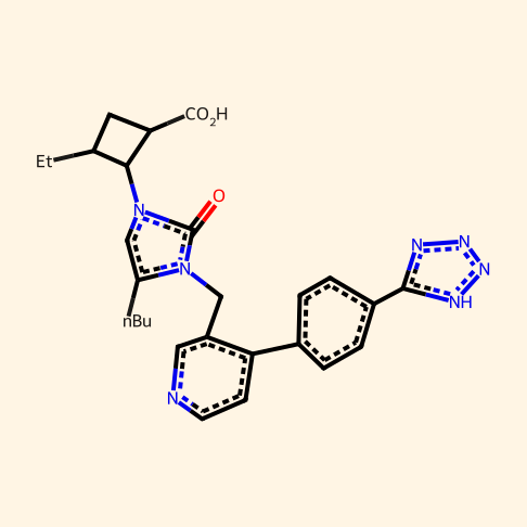 CCCCc1cn(C2C(CC)CC2C(=O)O)c(=O)n1Cc1cnccc1-c1ccc(-c2nnn[nH]2)cc1